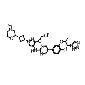 CC(Cn1cnnn1)Oc1cc(-c2cnc(Nc3cn([C@H]4C[C@H](C5CNCCO5)C4)nc3OCC(F)(F)F)nc2)ccc1Cl